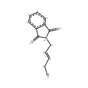 O=C1c2ccccc2C(=O)N1C/C=C/CBr